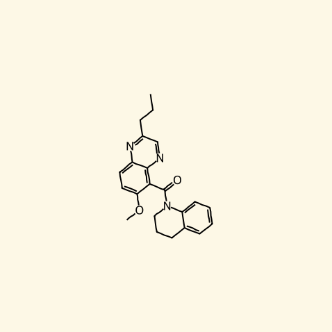 CCCc1cnc2c(C(=O)N3CCCc4ccccc43)c(OC)ccc2n1